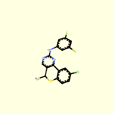 CC1Sc2ccc(Cl)cc2-c2nc(Nc3cc(F)cc(F)c3)ncc21